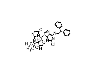 CC1(C)O[C@@H]2[C@@H](C(N3C(=O)CNC3=O)n3cnc4c(NCC(c5ccccc5)c5ccccc5)nc(Cl)nc43)OC[C@H]2O1